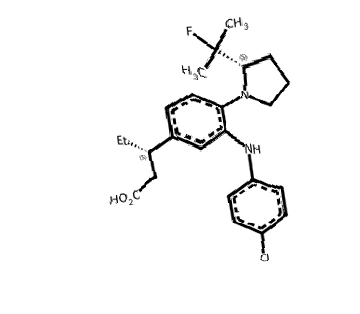 CC[C@@H](CC(=O)O)c1ccc(N2CCC[C@H]2C(C)(C)F)c(Nc2ccc(Cl)cc2)c1